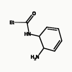 CCC(=O)NC1C=CC=CC1N